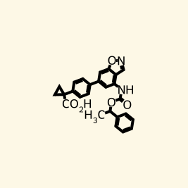 CC(OC(=O)Nc1cc(-c2ccc(C3(C(=O)O)CC3)cc2)cc2oncc12)c1ccccc1